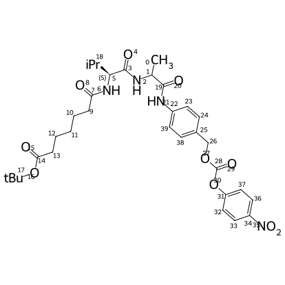 CC(NC(=O)[C@@H](NC(=O)CCCCCC(=O)OC(C)(C)C)C(C)C)C(=O)Nc1ccc(COC(=O)Oc2ccc([N+](=O)[O-])cc2)cc1